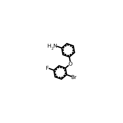 Nc1cccc(Oc2cc(F)ccc2Br)c1